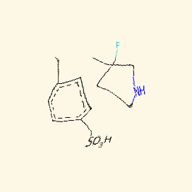 CC1(F)CCNC1.Cc1ccc(S(=O)(=O)O)cc1